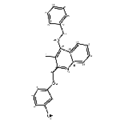 Cc1c(COc2cccc(O)c2)nc2ccccc2c1OCc1ccccc1